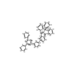 c1ccc(-c2nc(-c3ccccc3)nc(-c3cccc(-c4ccc5c(c4)nc4n5-c5ccccc5C4(c4ccccc4)c4ccccc4)c3)n2)cc1